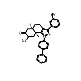 CC(C)c1cccc(-c2nn(-c3ccc(-c4ccccc4)cc3)c3c2CC[C@@H]2[C@@H](C)C(=O)C(C#N)=C[C@@]32C)c1